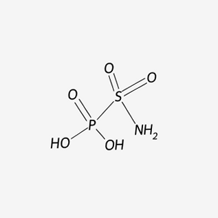 NS(=O)(=O)P(=O)(O)O